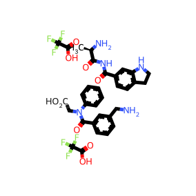 C[C@@H](N)C(=O)NC(=O)c1ccc2c(c1)NCC2.NCc1cccc(C(=O)N(CC(=O)O)c2ccccc2)c1.O=C(O)C(F)(F)F.O=C(O)C(F)(F)F